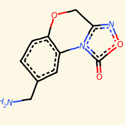 NCc1ccc2c(c1)-n1c(noc1=O)CO2